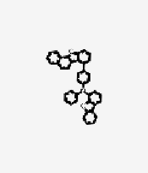 c1ccc(N(c2ccc(-c3cccc4oc5c6ccccc6ccc5c34)cc2)c2cccc3c2oc2ccccc23)cc1